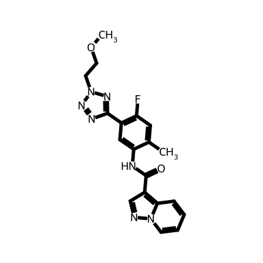 COCCn1nnc(-c2cc(NC(=O)c3cnn4ccccc34)c(C)cc2F)n1